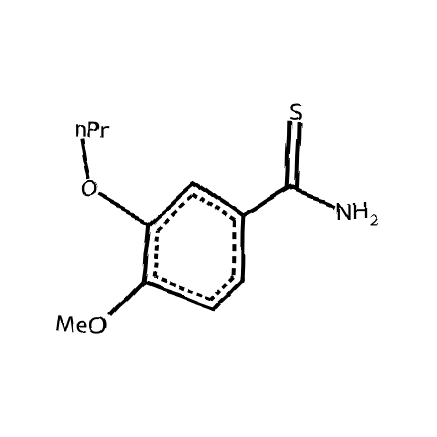 CCCOc1cc(C(N)=S)ccc1OC